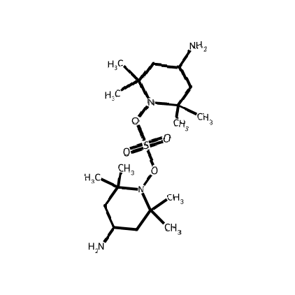 CC1(C)CC(N)CC(C)(C)N1OS(=O)(=O)ON1C(C)(C)CC(N)CC1(C)C